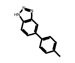 Cc1ccc(-c2ccc3[nH]nnc3c2)cc1